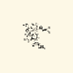 COC(=O)c1ccc([C@]2(Cc3ccccc3)C[C@@H](OCC3CC3)CCN2C(=O)O)cc1